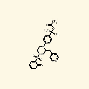 CC(OC(=O)C(F)(F)F)(c1ccc(N2CCN(S(=O)(=O)C3=CC=CCC3=S)CC2Cc2ccncc2)cc1)C(F)(F)F